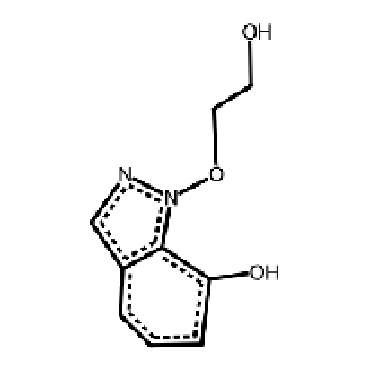 OCCOn1ncc2cccc(O)c21